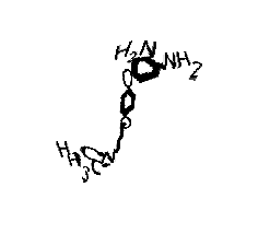 CCN(CC)CCCCOc1ccc(Oc2ccc(N)c(N)c2)cc1